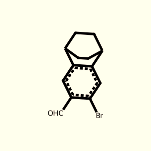 O=Cc1cc2c(cc1Br)C1CCC2CC1